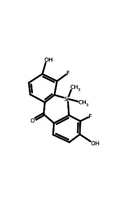 C[Si]1(C)c2c(ccc(O)c2F)C(=O)c2ccc(O)c(F)c21